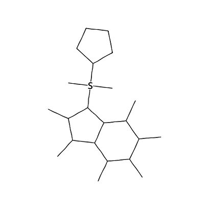 CC1C(C)C(C)C2C(C1C)C(C)C(C)C2S(C)(C)C1CCCC1